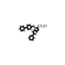 CCOC(=O)c1cc2sc(-c3ccccc3)cc2n1Cc1ccc(-c2ccccc2)cc1